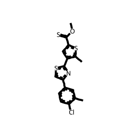 COC(=S)c1cc(-c2nc(-c3ccc(Cl)c(C)c3)cs2)c(C)s1